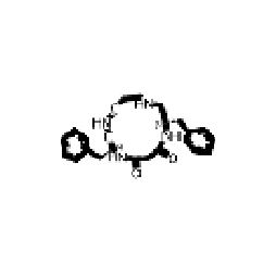 O=C1CC(=O)N[C@@H](Cc2ccccc2)CNCCCNC[C@H](Cc2ccccc2)N1